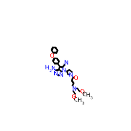 COCCN(CC=CC(=O)N1CC[C@@H](n2c(C#N)c(-c3ccc(Oc4ccccc4)cc3)c3c(N)ncnc32)C1)CCOC